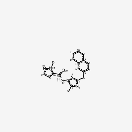 Cc1nc(Cc2ccc3ccccc3c2)sc1NC(=O)c1ccnn1C